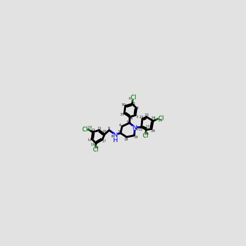 Clc1ccc(C2CC(NCc3cc(Cl)cc(Cl)c3)CCN2c2ccc(Cl)cc2Cl)cc1